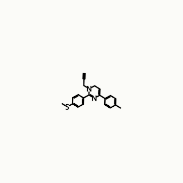 C#CCN1CC=C(c2ccc(C)cc2)N=C1c1ccc(SC)cc1